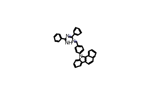 N=C(/N=C(\N=C\c1ccc(-n2c3ccccc3c3ccc4ccccc4c32)cc1)c1ccccc1)c1ccccc1